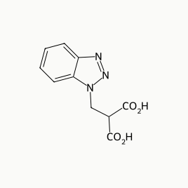 O=C(O)C(Cn1nnc2ccccc21)C(=O)O